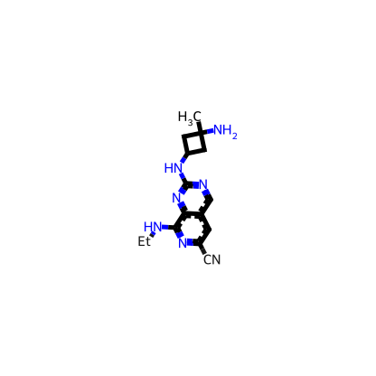 CCNc1nc(C#N)cc2cnc(NC3CC(C)(N)C3)nc12